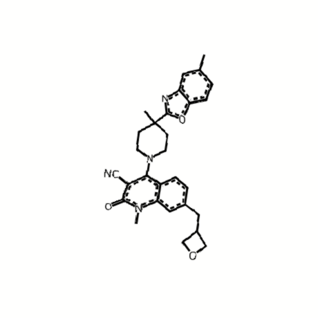 Cc1ccc2oc(C3(C)CCN(c4c(C#N)c(=O)n(C)c5cc(CC6COC6)ccc45)CC3)nc2c1